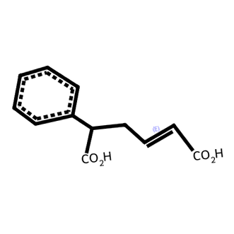 O=C(O)/C=C/CC(C(=O)O)c1ccccc1